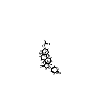 CC(=O)O[C@H]1CC[C@@]2(C)[C@H](CC[C@@H]3[C@@H]2CC[C@]2(C)[C@@H](c4ccc(=O)oc4)CC(=O)[C@]32O)C1